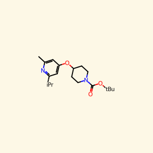 Cc1cc(OC2CCN(C(=O)OC(C)(C)C)CC2)cc(C(C)C)n1